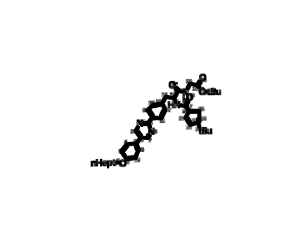 CCCCCCCOc1ccc(-c2cnc(-c3ccc(CC(NC(=O)c4ccc(C(C)(C)C)cc4)C(=O)NCC(=O)OC(C)(C)C)cc3)nc2)cc1